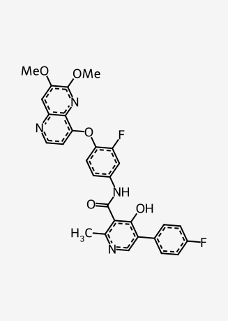 COc1cc2nccc(Oc3ccc(NC(=O)c4c(C)ncc(-c5ccc(F)cc5)c4O)cc3F)c2nc1OC